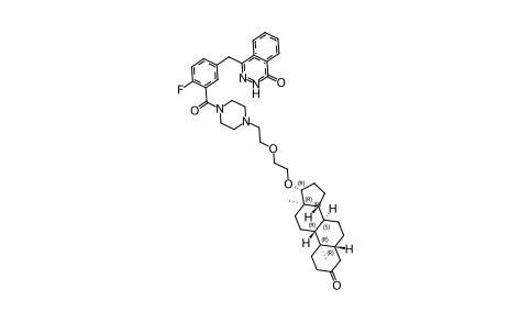 C[C@@]12CCC(=O)C[C@H]1CC[C@H]1[C@H]2CC[C@]2(C)[C@@H]1CC[C@H]2OCCOCCN1CCN(C(=O)c2cc(Cc3n[nH]c(=O)c4ccccc34)ccc2F)CC1